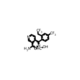 Nc1nnc(-c2ccc(C(F)(F)F)cc2CC(F)(F)F)c2ccncc12.O=CO